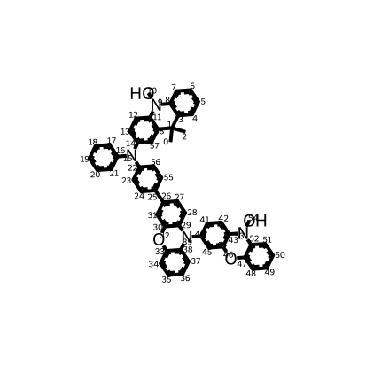 CC1(C)c2ccccc2N(O)c2ccc(N(c3ccccc3)c3ccc(-c4ccc5c(c4)Oc4ccccc4N5c4ccc5c(c4)Oc4ccccc4N5O)cc3)cc21